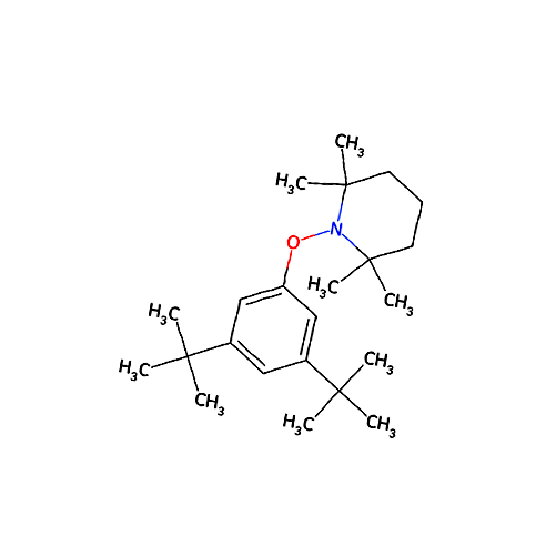 CC(C)(C)c1cc(ON2C(C)(C)CCCC2(C)C)cc(C(C)(C)C)c1